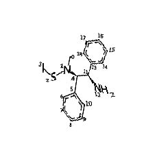 CN(SI)[C@H](c1ccccc1)[C@H](N)c1ccccc1